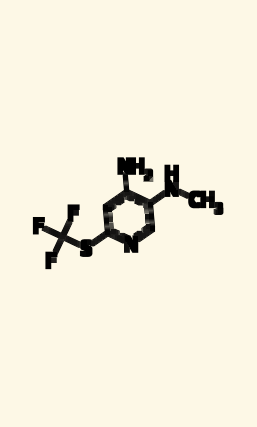 CNc1cnc(SC(F)(F)F)cc1N